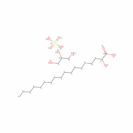 CCCCCCCCCCCCCCCCC(O)C(=O)O.O=S(=O)(O)O.OCC(O)CO